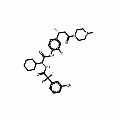 C[C@H](CC(=O)N1CCN(C)CC1)c1ccc(NC(=O)[C@@H](NC(=O)C(F)(F)c2cccc(C#N)c2)C2CCCCC2)c(F)c1